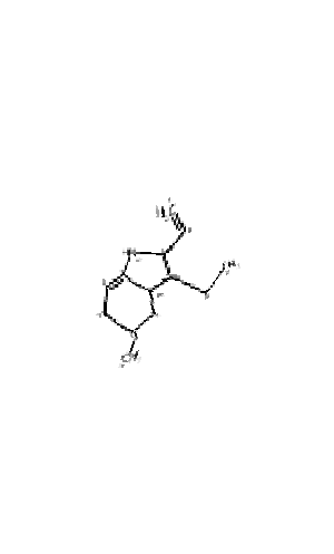 C=CC1NC2=CCC(C)CC2C1CC